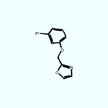 CC(C)c1cccc(OCc2ncco2)c1